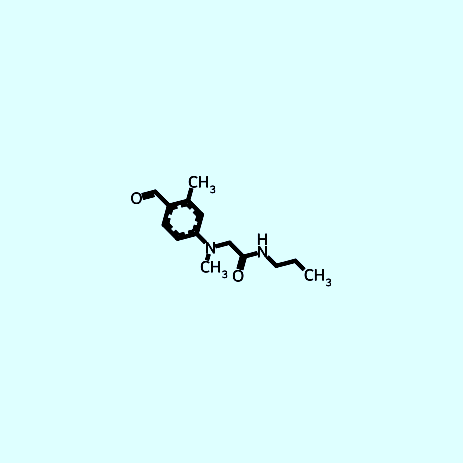 CCCNC(=O)CN(C)c1ccc(C=O)c(C)c1